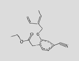 C=C/C(=C\C)COc1cc(C#N)ccc1CC(=O)OCC